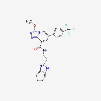 COc1nnc2c(C(=O)NCCc3nc4ccccc4[nH]3)cc(-c3ccc(C(F)(F)F)cc3)cn12